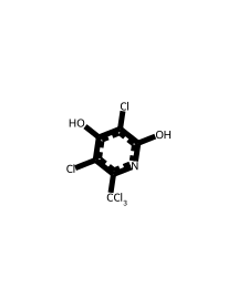 Oc1nc(C(Cl)(Cl)Cl)c(Cl)c(O)c1Cl